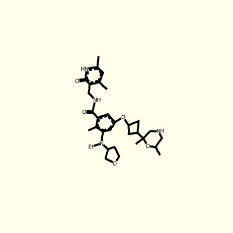 CCN(c1cc(OC2CC(C3(C)CNCC(C)O3)C2)cc(C(=O)NCc2c(C)cc(C)[nH]c2=O)c1C)C1CCOC1